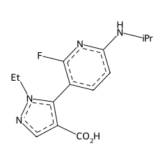 CCn1ncc(C(=O)O)c1-c1ccc(NC(C)C)nc1F